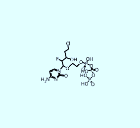 Nc1ccn(C(OCCOP(=O)(O)OP(=O)(O)OP(=O)(O)O)C(F)C(O)CCCl)c(=O)n1